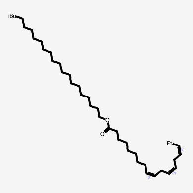 CC/C=C\C/C=C\C/C=C\CCCCCCCC(=O)OCCCCCCCCCCCCCCCCCCC(C)CC